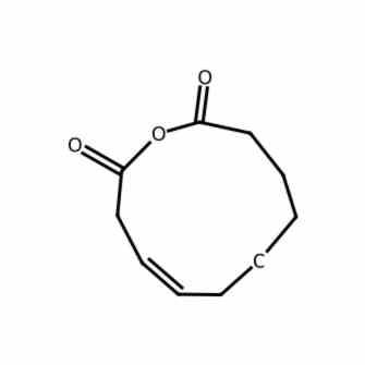 O=C1C/C=C\CCCCCC(=O)O1